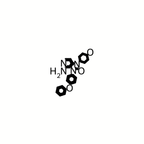 Nc1nccc2c1n(-c1ccc(Oc3ccccc3)cc1)c(=O)n2C1CCC(=O)CC1